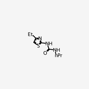 CCCNC(=O)Nc1nc(CC)cs1